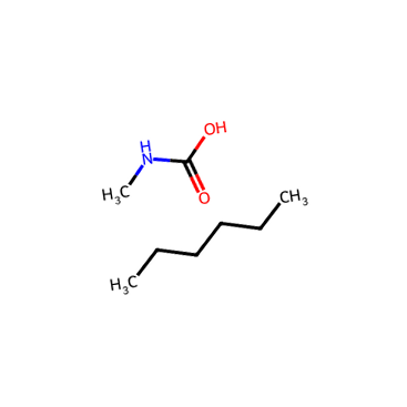 CCCCCC.CNC(=O)O